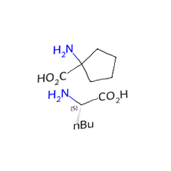 CCCC[C@H](N)C(=O)O.NC1(C(=O)O)CCCC1